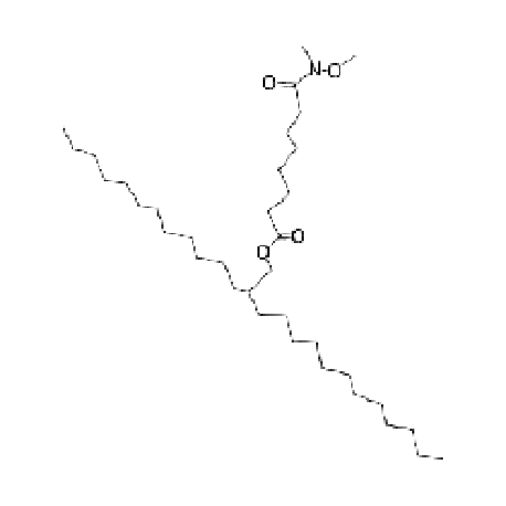 CCCCCCCCCCCCC(CCCCCCCCCCCC)COC(=O)CCCCCCC(=O)N(C)OC